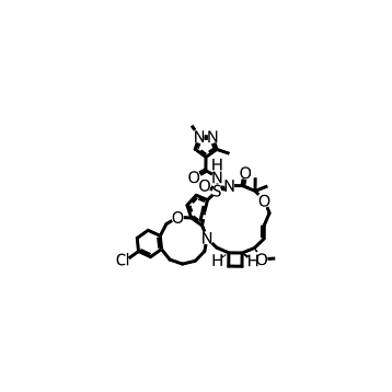 CO[C@H]1/C=C/COC(C)(C)C(=O)N=S(=O)(NC(=O)c2cn(C)nc2C)c2ccc3c(c2)N(CCCCC2=C(CCC(Cl)=C2)CO3)C[C@@H]2CC[C@H]21